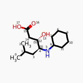 CC(C)C[C@H](NC1CCCCC1)[C@@H](O)CC(=O)O